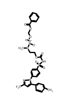 Cc1ccc(-c2cc(C(F)(F)F)nn2-c2ccc(S(=O)(=O)NC(=O)OCCN(C)[NH+]([O-])NOCOC(=O)c3ccccc3)cc2)cc1